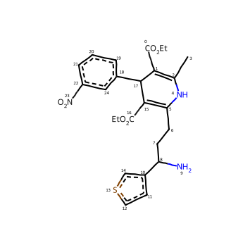 CCOC(=O)C1=C(C)NC(CCC(N)c2ccsc2)=C(C(=O)OCC)C1c1cccc([N+](=O)[O-])c1